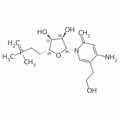 C=C1C=C(N)C(CCO)=CN1[C@@H]1O[C@H](CCP(=C)(C)C)[C@@H](O)[C@H]1O